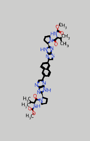 COC(=O)N[C@H](C(=O)N1CCC[C@@H]1c1nc2ncc(-c3ccc4cc(-c5cnc6nc([C@H]7CCCN7C(=O)[C@@H](NC(=O)OC)C(C)C)[nH]c6n5)ccc4c3)nc2[nH]1)C(C)C